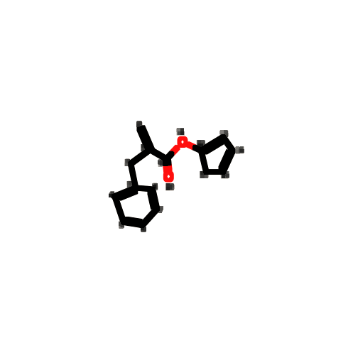 C=C(Cc1ccccc1)C(=O)OC1=CC=CC1